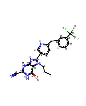 CCCn1c(-c2ccc(Cc3cccc(C(F)(F)F)c3)nc2)nc2nc(C#N)[nH]c(=O)c21